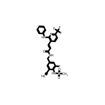 C#Cc1cc(CNC(=O)C=Cc2ccc(C(F)(F)F)nc2Nc2ccccc2)cc(F)c1NS(C)(=O)=O